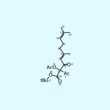 CC(=O)OC(C(C)=O)(C(=O)/C=C(\C)CCC=C(C)C)C(=O)OC(C)(C)C